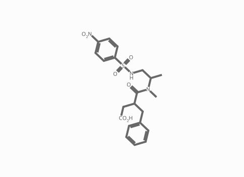 CC(CNS(=O)(=O)c1ccc([N+](=O)[O-])cc1)N(C)C(=O)C(CC(=O)O)Cc1ccccc1